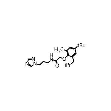 Cc1cc(C(C)(C)C)cc(CC(C)C)c1OCC(=O)NCCCn1cncn1